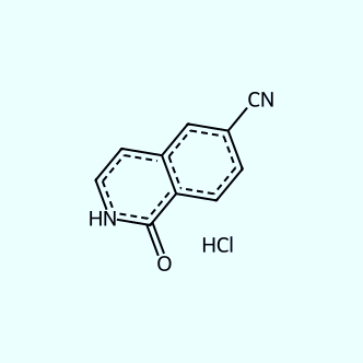 Cl.N#Cc1ccc2c(=O)[nH]ccc2c1